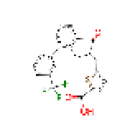 O=C(O)c1ccc(CC2Cc3c(cccc3-c3cccc(C(F)(F)F)c3)C2=O)s1